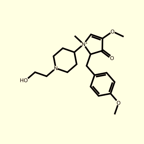 COC1=C[N+](C)(C2CCN(CCO)CC2)C(Cc2ccc(OC)cc2)C1=O